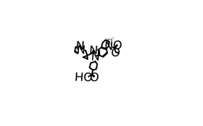 COC(=O)N1c2ccc3c(nc(C4(Cn5cccn5)CC4)n3C3CCC(C(=O)O)CC3)c2CC[C@@H]1C